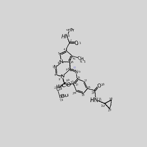 CCCNC(=O)c1cn2ncn(C(=O)OC(C)(C)C)/c(=N\c3cc(C(=O)NC4CC4)ccc3C)c2c1C